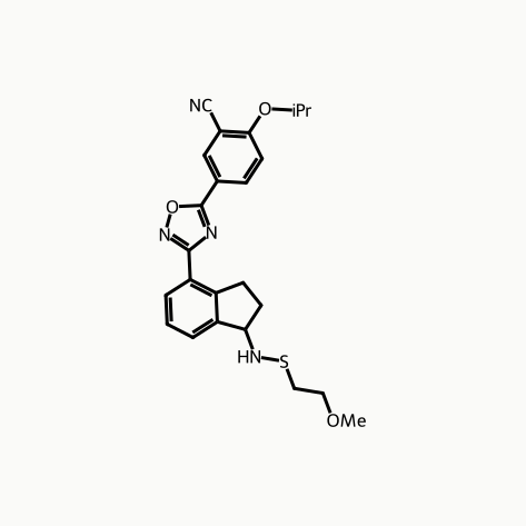 COCCSNC1CCc2c(-c3noc(-c4ccc(OC(C)C)c(C#N)c4)n3)cccc21